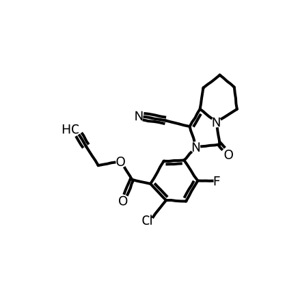 C#CCOC(=O)c1cc(-n2c(C#N)c3n(c2=O)CCCC3)c(F)cc1Cl